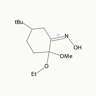 CCOC1(OC)CCC(C(C)(C)C)C/C1=N/O